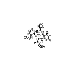 CC(C)OC(=O)[C@@H](C)OC(=O)C1=C(CN2CCOC[C@H]2C(=O)O)NC(c2nccs2)=N[C@H]1c1ccc(Cl)cc1Cl